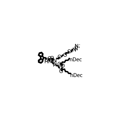 CCCCCCCCCCCCCCCC(=O)OCC(CSCC(NC(=O)OCC1c2ccccc2-c2ccccc21)C(=O)NCCOCCOCCOCCN=[N+]=[N-])OC(=O)CCCCCCCCCCCCCCC